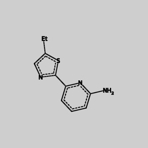 CCc1cnc(-c2cccc(N)n2)s1